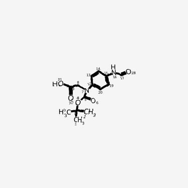 CC(C)(C)OC(=O)N(CC(=O)O)c1ccc(NC=O)cc1